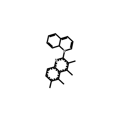 Cc1ccc2nc(N3C=CC=C4C=CC=CC43)c(C)c(C)c2c1C